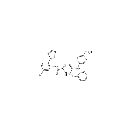 O=C(Nc1cc(Cl)ccc1-n1cncn1)C(=O)N[C@@H](Cc1ccccc1)C(=O)Nc1ccc(C(=O)O)cc1